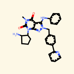 Cn1c(=O)c2c(Nc3ccccc3)n(Cc3ccc(-c4ccccn4)cc3)nc2n(C2CCCC2N)c1=O